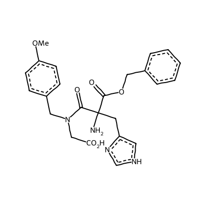 COc1ccc(CN(CC(=O)O)C(=O)C(N)(Cc2c[nH]cn2)C(=O)OCc2ccccc2)cc1